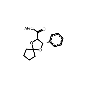 COC(=O)[C@@H]1OC2(CCCC2)O[C@H]1c1ccccc1